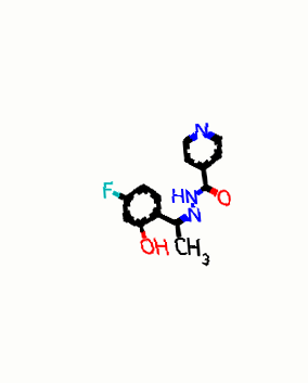 CC(=NNC(=O)c1ccncc1)c1ccc(F)cc1O